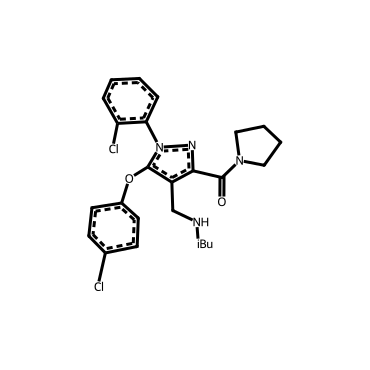 CCC(C)NCc1c(C(=O)N2CCCC2)nn(-c2ccccc2Cl)c1Oc1ccc(Cl)cc1